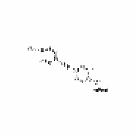 CCCCCOc1ccc(C#Cc2ccc(CCCC)cc2)nc1